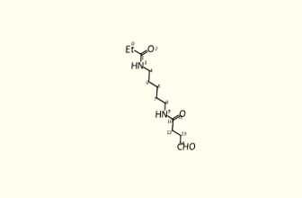 CCC(=O)NCCCCCNC(=O)CCC=O